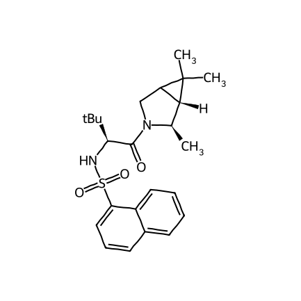 C[C@@H]1[C@@H]2C(CN1C(=O)[C@@H](NS(=O)(=O)c1cccc3ccccc13)C(C)(C)C)C2(C)C